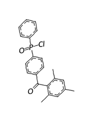 Cc1cc(C)c(C(=O)c2ccc(P(=O)(Cl)c3ccccc3)cc2)c(C)c1